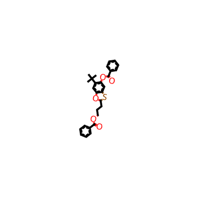 CC(C)(C)c1cc2c(cc1OC(=O)c1ccccc1)SC(CCCOC(=O)c1ccccc1)O2